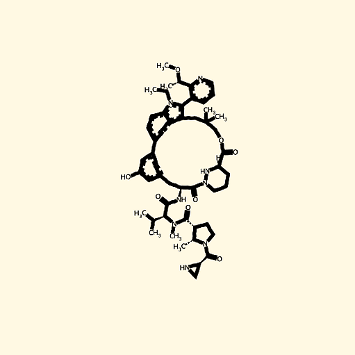 CCn1c(-c2cccnc2[C@H](C)OC)c2c3cc(ccc31)-c1cc(O)cc(c1)C[C@H](NC(=O)[C@H](C(C)C)N(C)C(=O)[C@@H]1CCN(C(=O)[C@H]3CN3)[C@@H]1C)C(=O)N1CCC[C@H](N1)C(=O)OCC(C)(C)C2